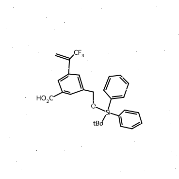 C=C(c1cc(CO[Si](c2ccccc2)(c2ccccc2)C(C)(C)C)cc(C(=O)O)c1)C(F)(F)F